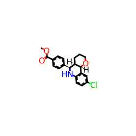 COC(=O)c1ccc([C@@H]2Nc3ccc(Cl)cc3[C@@H]3OCCC[C@H]23)cc1